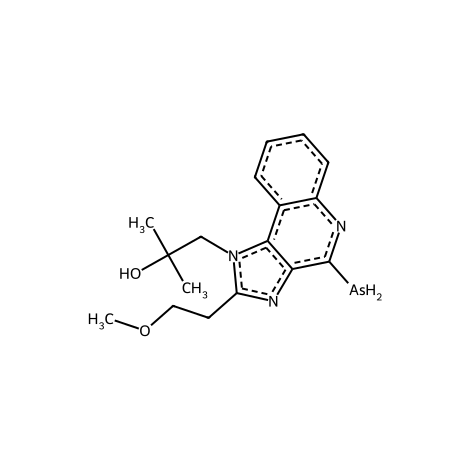 COCCc1nc2c([AsH2])nc3ccccc3c2n1CC(C)(C)O